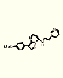 COc1ccc(-c2cnn3c(NCCc4cccnc4)ccnc23)cc1